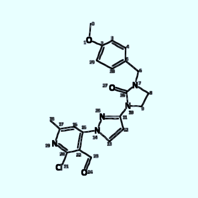 COc1ccc(CN2CCN(c3ccn(-c4cc(C)nc(Cl)c4C=O)n3)C2=O)cc1